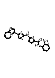 Nc1ccccc1NC(=O)c1ccc(Nc2ncc(-c3cnc4ccccn34)s2)s1